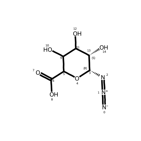 [N-]=[N+]=N[C@@H]1OC(C(=O)O)C(O)C(O)[C@@H]1O